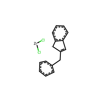 [CH]1C(Cc2ccccc2)=Cc2ccccc21.[Cl][Zr][Cl]